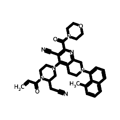 C=CC(=O)N1CCN(c2c(C#N)c(C(=O)N3CCOCC3)nc3c2CCN(c2cccc4cccc(C)c24)C3)CC1CC#N